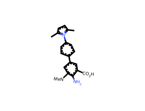 CNc1cc(-c2ccc(-n3c(C)ccc3C)cc2)cc(C(=O)O)c1N